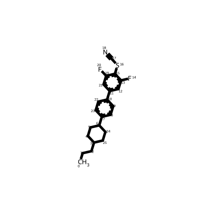 CCCC1CCC(c2ccc(-c3cc(F)c(SC#N)c(F)c3)cc2)CC1